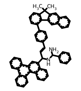 CC1(C)c2cc3ccccc3cc2-c2c(-c3ccc(/C=C/C(NC(N)c4ccccc4)c4cc5c6ccccc6c6ccccc6c5c5ccccc45)cc3)cccc21